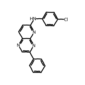 Clc1ccc(Nc2ccc3ncc(-c4ccccc4)nc3n2)cc1